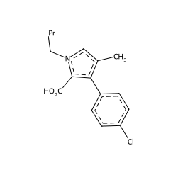 Cc1cn(CC(C)C)c(C(=O)O)c1-c1ccc(Cl)cc1